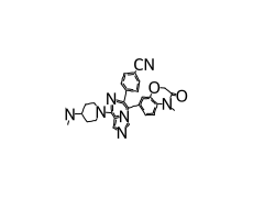 CN1C(=O)COc2cc(-c3c(-c4ccc(C#N)cc4)nc(N4CCC(N(C)C)CC4)c4cncn34)ccc21